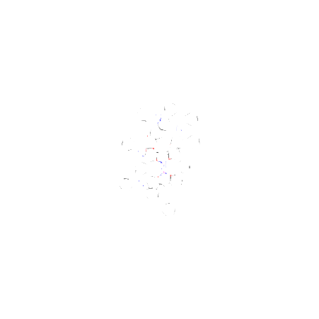 c1ccc(-c2ccc(-n3c4ccccc4c4cc(-n5c6ccccc6c6cc(-c7cccc8c7c7ccccc7n8-c7c(-c8ccccc8)cccc7-c7cccc(-n8c9ccccc9c9cc(-c%10cccc%11c%10c%10ccccc%10n%11-c%10ccccc%10-c%10ccccc%10-c%10ccccc%10-n%10c%11ccccc%11c%11ccccc%11%10)ccc98)c7)ccc65)ccc43)cc2)cc1